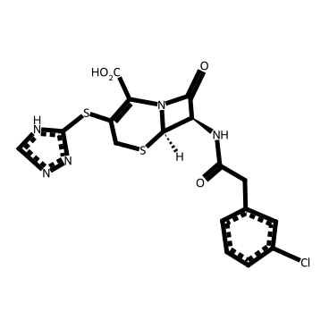 O=C(Cc1cccc(Cl)c1)N[C@@H]1C(=O)N2C(C(=O)O)=C(Sc3nnc[nH]3)CS[C@H]12